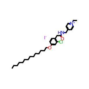 CCCCCCCCCCCCCCOc1ccc(CC(=O)NCc2cc[n+](CC)cc2)c(Cl)c1.[I-]